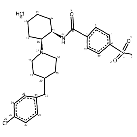 CS(=O)(=O)c1ccc(C(=O)N[C@@H]2CCCC[C@@H]2N2CCC(Cc3ccc(Cl)cc3)CC2)cc1.Cl